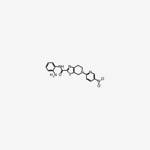 Nc1ccccc1NC(=O)c1nc2c(s1)CN(c1ccc([N+](=O)[O-])cn1)CC2